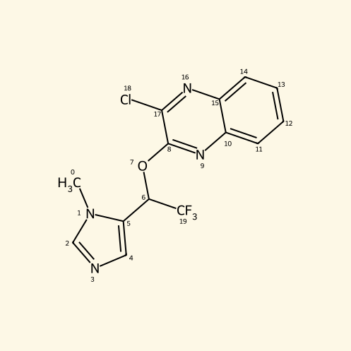 Cn1cncc1C(Oc1nc2ccccc2nc1Cl)C(F)(F)F